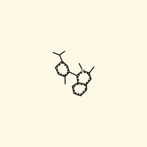 Cc1ccc(C(C)C)cc1-c1c2ccccc2cc(C)[n+]1C